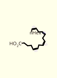 CCCCCC/C=C\C/C=C\C/C=C\C/C=C\CCCC(=O)O